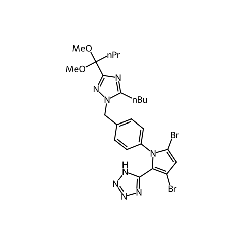 CCCCc1nc(C(CCC)(OC)OC)nn1Cc1ccc(-n2c(Br)cc(Br)c2-c2nnn[nH]2)cc1